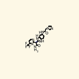 NC(=O)/C(=C1\Nc2ccc(NC(=O)Cn3ccnc3)cc2N1)c1nccc(C(F)(F)F)n1